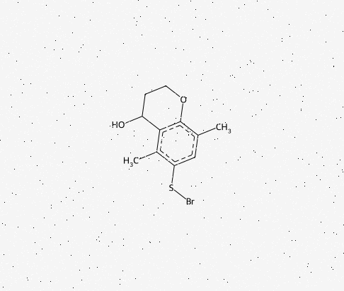 Cc1cc(SBr)c(C)c2c1OCCC2O